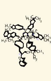 C=C/C(=C\C1=CCC(N(C(=C)/C=C2\C(=C\Nc3ccc4c(c3)CC(C)(C)C4)B(/C=C/C=C3/CC(C)(C)CC3=C)c3cc4c(cc3N2c2ccc3c(c2)CC(C)(C)C3)CC(C)(C)C4)c2ccc3c(c2)C(C)(C)c2ccccc2-3)C=C1)c1cc2ccccc2o1